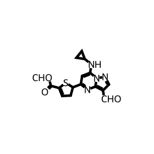 O=CC(=O)C1=CCC(c2cc(NC3CC3)n3ncc(C=O)c3n2)S1